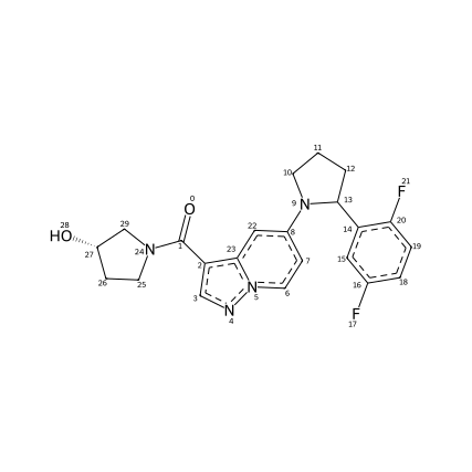 O=C(c1cnn2ccc(N3CCCC3c3cc(F)ccc3F)cc12)N1CC[C@H](O)C1